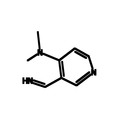 CN(C)c1ccncc1C=N